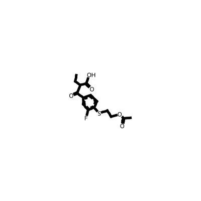 CCC(C(=O)O)C(=O)c1ccc(SCCOC(C)=O)c(F)c1